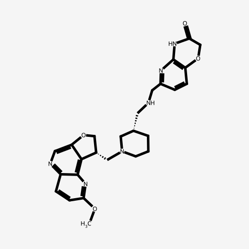 COc1ccc2ncc3c(c2n1)[C@@H](CN1CCC[C@@H](CNCc2ccc4c(n2)NC(=O)CO4)C1)CO3